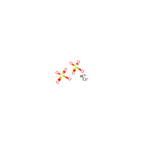 O=S(=O)([O-])[O-].O=S(=O)([O-])[O-].[Al+3].[Cs+]